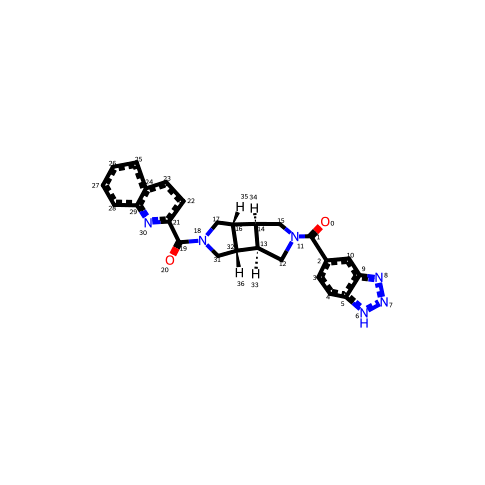 O=C(c1ccc2[nH]nnc2c1)N1C[C@@H]2[C@H](C1)[C@H]1CN(C(=O)c3ccc4ccccc4n3)C[C@@H]21